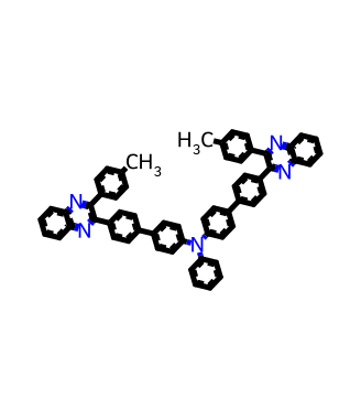 Cc1ccc(-c2nc3ccccc3nc2-c2ccc(-c3ccc(N(c4ccccc4)c4ccc(-c5ccc(-c6nc7ccccc7nc6-c6ccc(C)cc6)cc5)cc4)cc3)cc2)cc1